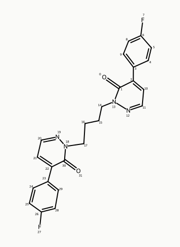 O=c1c(-c2ccc(F)cc2)ccnn1CCCCn1nccc(-c2ccc(F)cc2)c1=O